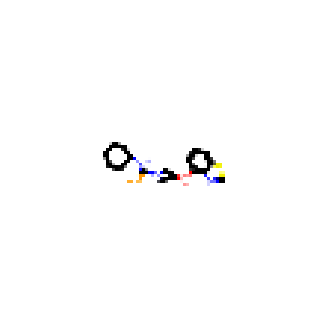 P=C(NC1CCCCC1)N1CC(Oc2cccc3scnc23)C1